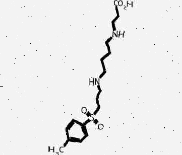 Cc1ccc(S(=O)(=O)CCCNCCCCNCCC(=O)O)cc1